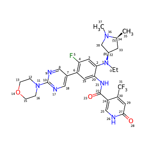 CCN(c1cc(F)c(-c2cnc(N3CCOCC3)nc2)cc1NC(=O)c1c[nH]c(=O)cc1C(F)(F)F)[C@@H]1C[C@H](C)N(C)C1